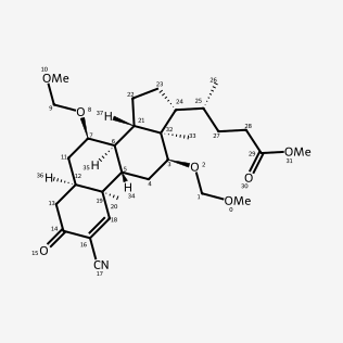 COCO[C@H]1C[C@H]2[C@@H]([C@H](OCOC)C[C@@H]3CC(=O)C(C#N)=C[C@@]32C)[C@@H]2CC[C@H]([C@H](C)CCC(=O)OC)[C@@]12C